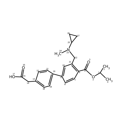 CC(C)OC(=O)c1ccc(-c2ccc(CC(=O)O)cc2)cc1CN(C)C1CC1